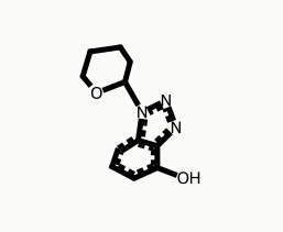 Oc1cccc2c1nnn2C1CCCCO1